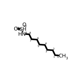 CCCCCCCCCN[SH](=O)=O